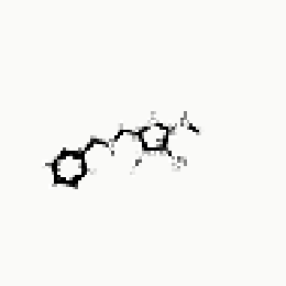 CO[C@H]1O[C@H](COCc2ccccc2)[C@@H](F)[C@@H]1O